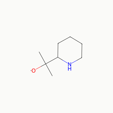 CC(C)([O])C1CCCCN1